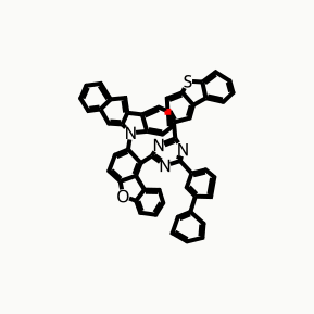 c1ccc(-c2cccc(-c3nc(-c4ccc5sc6ccccc6c5c4)nc(-c4c(-n5c6ccccc6c6cc7ccccc7cc65)ccc5oc6ccccc6c45)n3)c2)cc1